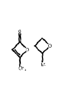 CC1=CC(=O)O1.CCC1CCO1